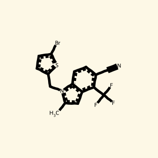 Cc1cc2c(C(F)(F)F)c(C#N)ccc2n1Cc1ccc(Br)s1